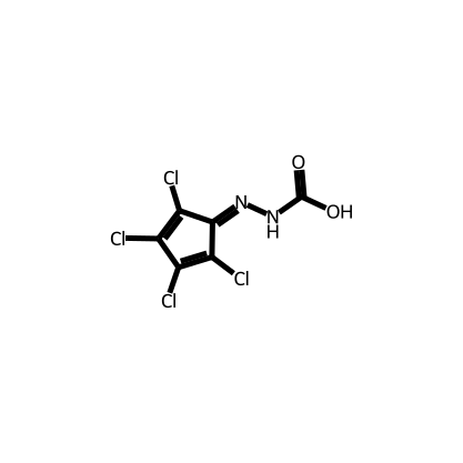 O=C(O)NN=C1C(Cl)=C(Cl)C(Cl)=C1Cl